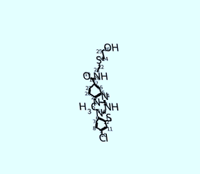 Cn1c(Nc2nc3ccc(Cl)cc3s2)nc2cc(C(=O)NCCSCCO)ccc21